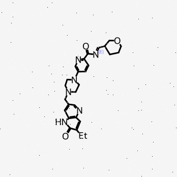 CCc1cc2ncc(CN3CCN(c4ccc(C(=O)/N=C/C5CCCOC5)nc4)CC3)cc2[nH]c1=O